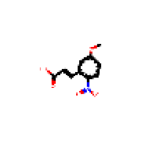 COc1ccc([N+](=O)[O-])c(C=CC(=O)O)c1